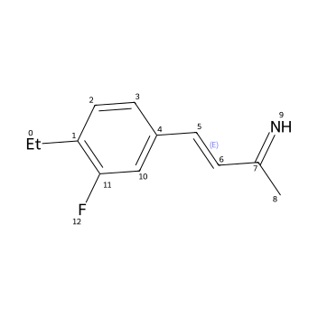 CCc1ccc(/C=C/C(C)=N)cc1F